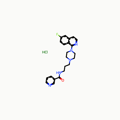 Cl.O=C(NCCCN1CCN(c2nccc3cc(F)ccc23)CC1)c1cccnc1